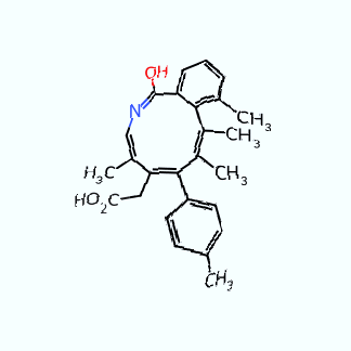 Cc1ccc(-c2c(C)c(C)c3c(C)cccc3c(O)ncc(C)c2CC(=O)O)cc1